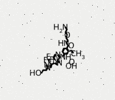 CCc1cc(Nc2nccn3c(-c4cn(CCCO)nc4C(F)(F)F)cnc23)ccc1C(=O)NCCOCCN.O=CO